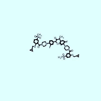 CC(C(=O)C(C)c1ccc(N2CCN(C(=O)c3cc(S(C)(=O)=O)ccc3OCC3CC3)CC2)c(F)c1)c1ccc(N2CCN(C(=O)c3cc(S(C)(=O)=O)ccc3OCC3CC3)CC2)c(F)c1